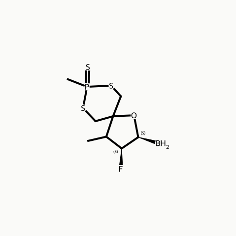 B[C@@H]1OC2(CSP(C)(=S)SC2)C(C)[C@@H]1F